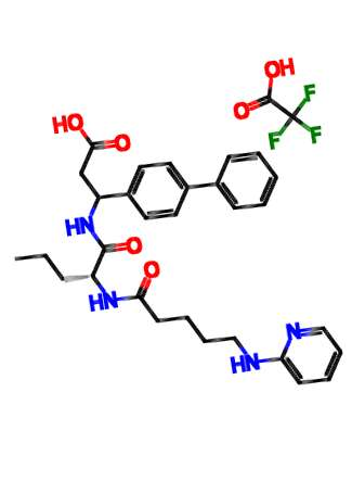 CCC[C@@H](NC(=O)CCCCNc1ccccn1)C(=O)NC(CC(=O)O)c1ccc(-c2ccccc2)cc1.O=C(O)C(F)(F)F